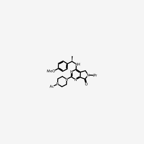 COc1ccc([C@@H](C)Nc2nc(N3CCN(C(C)=O)CC3)nc3c2CN(C(C)C)C3=O)cc1